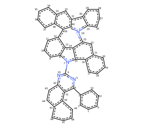 c1ccc(-c2nc(-n3c4cccc5c4c4c3c3ccccc3cc4n3c4ccccc4c4cc6ccccc6c5c43)nc3ccc4ccccc4c23)cc1